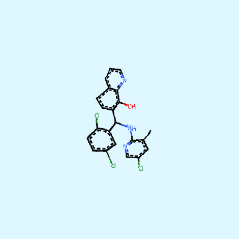 Cc1cc(Cl)cnc1NC(c1cc(Cl)ccc1Cl)c1ccc2cccnc2c1O